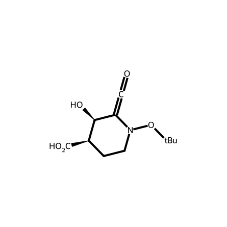 CC(C)(C)ON1CC[C@@H](C(=O)O)[C@@H](O)C1=C=O